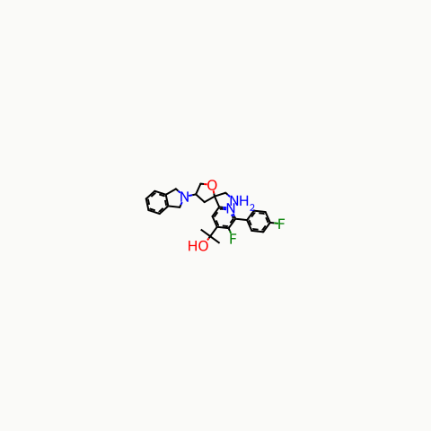 CC(C)(O)c1cc(C2(CN)CC(N3Cc4ccccc4C3)CO2)nc(-c2ccc(F)cc2)c1F